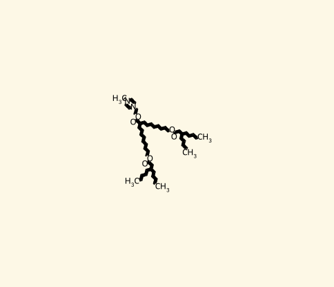 CCCCCC(CCCCC)CC(=O)OCCCCCCCCCC(CCCCCCCCOC(=O)CC(CCCCC)CCCCC)C(=O)OCCN1CCN(C)CC1